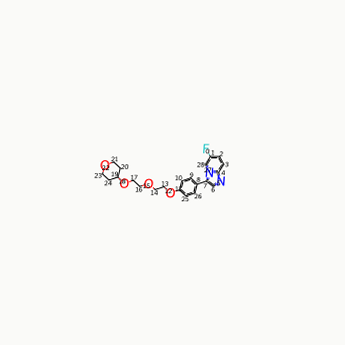 Fc1ccc2ncc(-c3ccc(OCCOCCOC4CCOCC4)cc3)n2c1